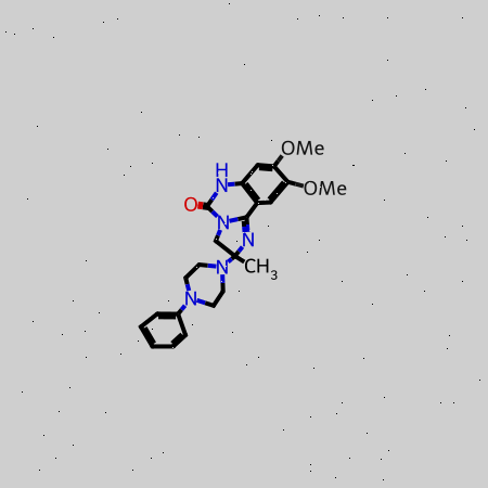 COc1cc2c(cc1OC)C1=NC(C)(N3CCN(c4ccccc4)CC3)CN1C(=O)N2